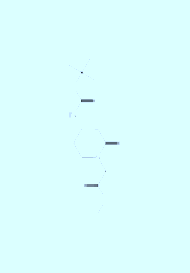 COC(=O)CN1CC[C@H](NC(=O)OC(C)(C)C)CC1=O